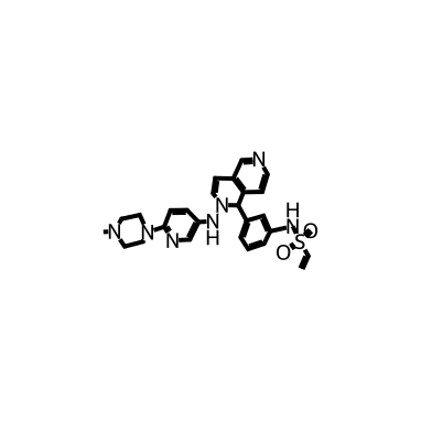 C=CS(=O)(=O)Nc1cccc(C2c3ccncc3C=CN2Nc2ccc(N3CCN(C)CC3)nc2)c1